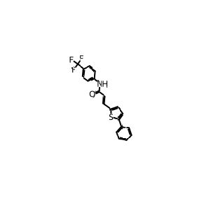 O=C(/C=C/c1ccc(-c2ccccc2)s1)Nc1ccc(C(F)(F)F)cc1